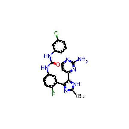 CC(C)(C)c1nc(-c2cc(NC(=O)Nc3cccc(Cl)c3)ccc2F)c(-c2ccnc(N)n2)[nH]1